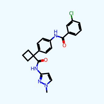 Cn1ccc(NC(=O)C2(c3ccc(NC(=O)c4cccc(Cl)c4)cc3)CCC2)n1